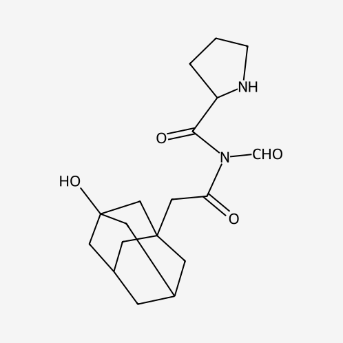 O=CN(C(=O)CC12CC3CC(CC(O)(C3)C1)C2)C(=O)C1CCCN1